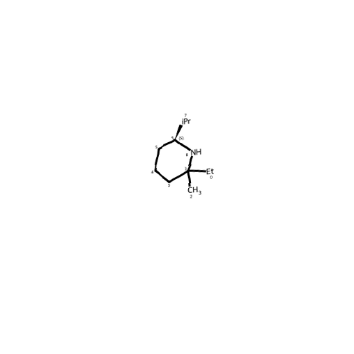 CCC1(C)CCC[C@@H](C(C)C)N1